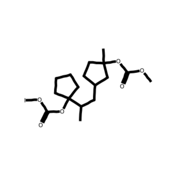 COC(=O)OC1(C)CCC(CC(C)C2(OC(=O)OI)CCCC2)C1